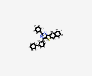 c1ccc(-c2cccc(-c3nc(-c4ccccc4)nc4c3sc3cc5ccccc5cc34)c2)cc1